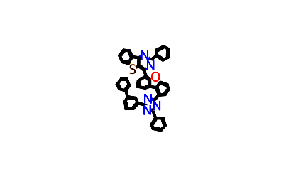 c1ccc(-c2cccc(-c3nc(-c4ccccc4)nc(-c4cccc5oc6c(-c7nc(-c8ccccc8)nc8c7sc7ccccc78)cccc6c45)n3)c2)cc1